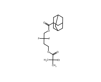 CCC(C)(C)C(=O)OCCC(F)(F)COC(=O)C12CC3CC(CC(C3)C1)C2